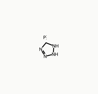 C1N=NNN1.[P]